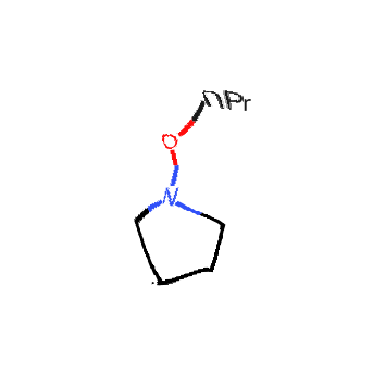 CCCON1C[CH]CC1